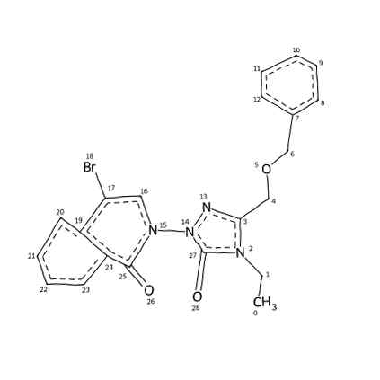 CCn1c(COCc2ccccc2)nn(-n2cc(Br)c3ccccc3c2=O)c1=O